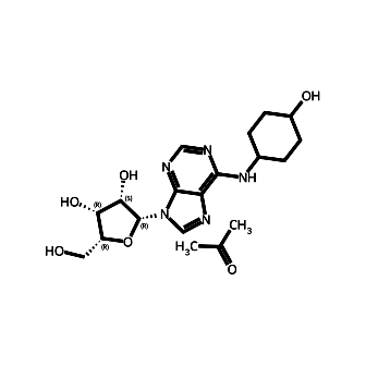 CC(C)=O.OC[C@H]1O[C@@H](n2cnc3c(NC4CCC(O)CC4)ncnc32)[C@@H](O)[C@H]1O